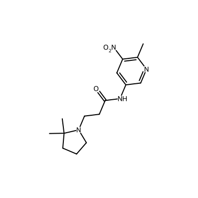 Cc1ncc(NC(=O)CCN2CCCC2(C)C)cc1[N+](=O)[O-]